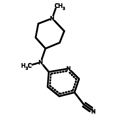 CN1CCC(N(C)c2ccc(C#N)cn2)CC1